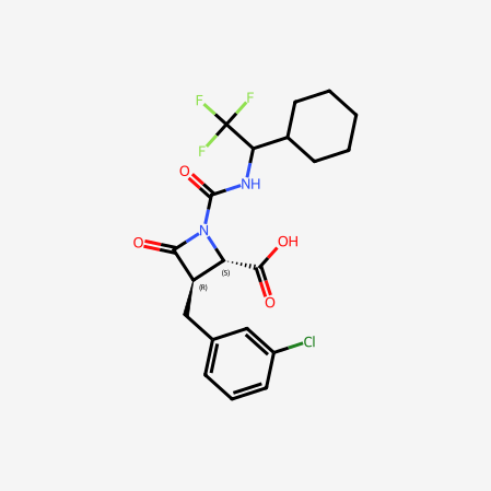 O=C(O)[C@@H]1[C@@H](Cc2cccc(Cl)c2)C(=O)N1C(=O)NC(C1CCCCC1)C(F)(F)F